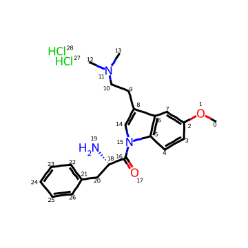 COc1ccc2c(c1)c(CCN(C)C)cn2C(=O)[C@@H](N)Cc1ccccc1.Cl.Cl